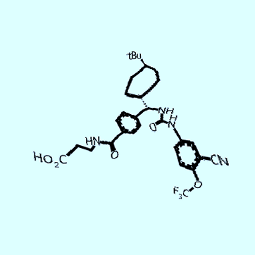 CC(C)(C)[C@H]1CC[C@H](C(NC(=O)Nc2ccc(OC(F)(F)F)c(C#N)c2)c2ccc(C(=O)NCCC(=O)O)cc2)CC1